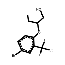 CCC(F)(F)c1cc(Br)ccc1OC(CO)CF